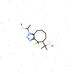 CBC(C)n1nnc2c1CCCCC(C(C)(C)BC)C2(F)F